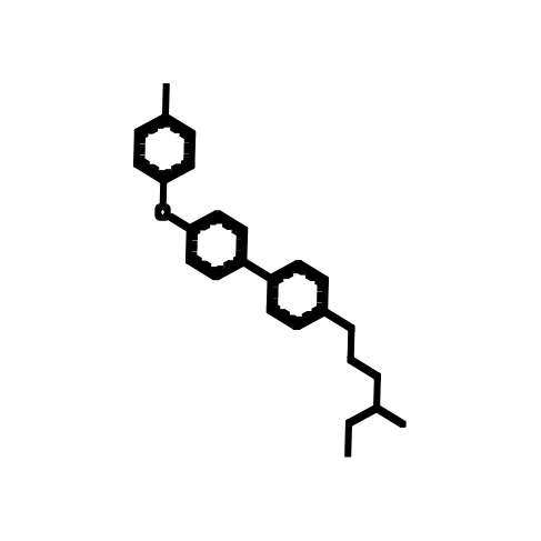 CCC(C)CCCc1ccc(-c2ccc(Oc3ccc(C)cc3)cc2)cc1